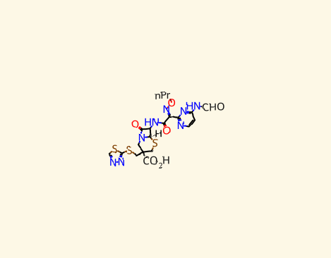 CCCON=C(C(=O)NC1C(=O)N2CC(CSc3nncs3)(C(=O)O)CS[C@H]12)c1nccc(NC=O)n1